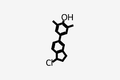 Cc1cc(-c2ccc3c(c2)CCC3Cl)cc(C)c1O